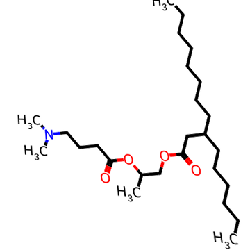 CCCCCCCCC(CCCCCC)CC(=O)OCC(C)OC(=O)CCCN(C)C